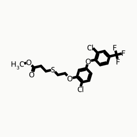 COC(=O)CCSCCOc1cc(Oc2ccc(C(F)(F)F)cc2Cl)ccc1Cl